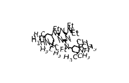 CCN(CC)c1nc(N(CC)C2CC(C)(C)NC(C)(C)C2)nc(N(CC)C2CC(C)(C)NC(C)(C)C2)n1